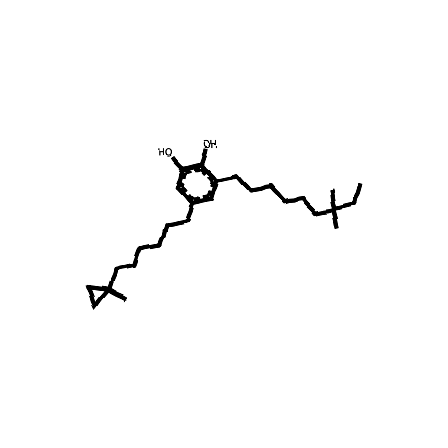 CCC(C)(C)CCCCCCc1cc(CCCCCCC2(C)CC2)cc(O)c1O